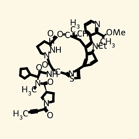 CC#CC(=O)N1CC[C@H](C(=O)N(C)[C@H](C(=O)N[C@H]2Cc3nc(cs3)-c3ccc4c(c3)c(c(-c3cccnc3[C@H](C)OC)n4CC)CC(C)(C)COC(=O)[C@@H]3CCCN(N3)C2=O)C2CCCC2)C1